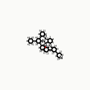 O=C1c2cccc(-n3c4ccccc4c4cc(-c5ccncc5)ccc43)c2C(=O)N1c1c(-c2ccccc2)cc(-c2ccccc2)cc1-c1ccccc1